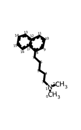 CN(C)CCC[CH]Cc1cccc2ccccc12